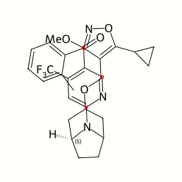 COC(=O)c1cnc(N2C3CC[C@H]2CC(OCc2c(-c4ccccc4C)noc2C2CC2)C3)cc1C(F)(F)F